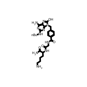 CCCCNc1nc(N)c2nc(O)n(Cc3ccc(C(=O)NCC(=O)NC(CCCCN)C(N)=O)cc3)c2n1